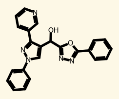 OC(c1nnc(-c2ccccc2)o1)c1cn(-c2ccccc2)nc1-c1cccnc1